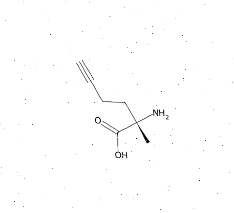 C#CCC[C@](C)(N)C(=O)O